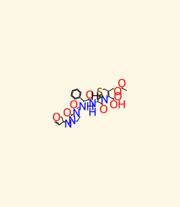 CC(=O)OCC1=C(C(=O)O)N2C(=O)C(NC(=O)C(NC(=O)N3CCN(N=C4C=COC4)C3=O)c3ccccc3)[C@@H]2SC1